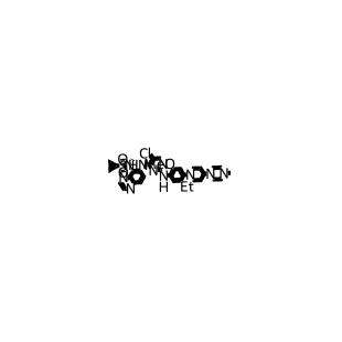 CCc1cc(Nc2ncc(Cl)c(Nc3ccc4nccnc4c3N(C)S(=O)(=O)C3CC3)n2)c(OC)cc1N1CCC(N2CCN(C)CC2)CC1